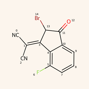 N#CC(C#N)=C1c2c(F)cccc2C(=O)C1Br